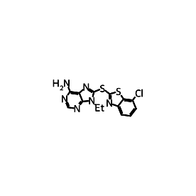 CCn1c(Sc2nc3cccc(Cl)c3s2)nc2c(N)ncnc21